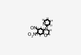 O=Nc1cc2c(cc1[N+](=O)[O-])OCCN2c1ccccn1